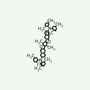 Cc1ccc(C)c(N(c2ccc3cc4c(cc3c2)oc2c(C)c3c(oc5cc6cc(N(c7cc(C)ccc7C)c7cc(C)ccc7C)ccc6cc53)c(C)c24)c2cc(C)ccc2C)c1